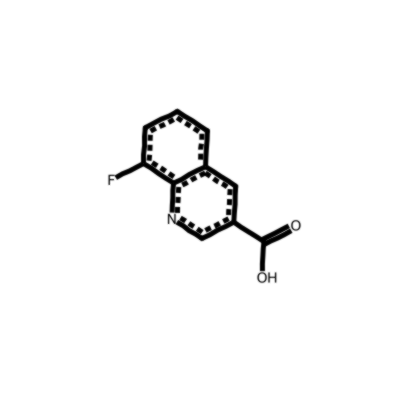 O=C(O)c1cnc2c(F)cccc2c1